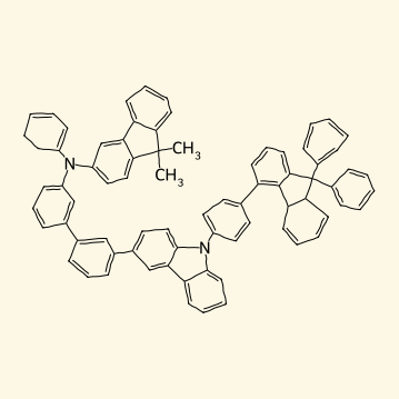 CC1(C)c2ccccc2-c2cc(N(C3=CC=CCC3)c3cccc(-c4cccc(-c5ccc6c(c5)c5ccccc5n6-c5ccc(-c6cccc7c6C6C=CC=CC6C7(c6ccccc6)c6ccccc6)cc5)c4)c3)ccc21